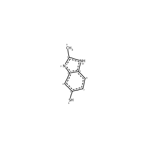 Cc1nc2cc(S)ccc2[nH]1